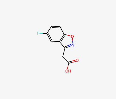 O=C(O)Cc1noc2ccc(F)cc12